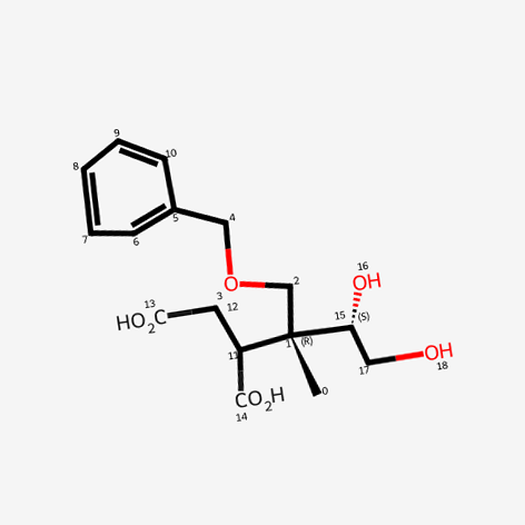 C[C@](COCc1ccccc1)(C(CC(=O)O)C(=O)O)[C@H](O)CO